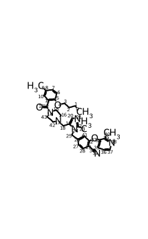 CCCCOc1ccc(C)cc1C(=O)N1CCN(Cc2cnc(C)n2Cc2ccc(C#N)c(Oc3cccnc3C)c2)CC1